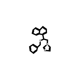 c1ccc(CSC(Cn2ccnc2)c2cccc3ccccc23)cc1